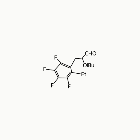 CCc1c(F)c(F)c(F)c(F)c1CC(C=O)OCC(C)C